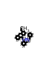 CCc1ccccc1Cc1ccccc1CC.c1ccc(CNCc2ccccc2)cc1